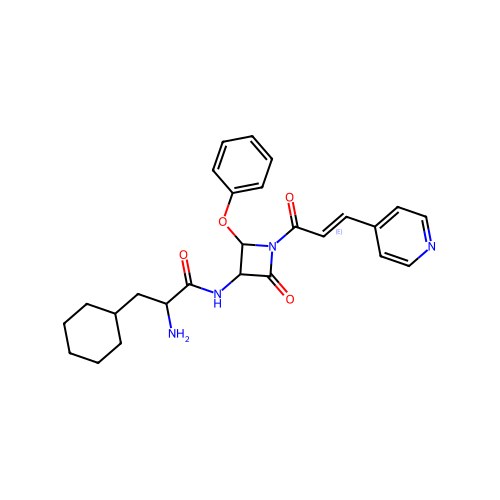 NC(CC1CCCCC1)C(=O)NC1C(=O)N(C(=O)/C=C/c2ccncc2)C1Oc1ccccc1